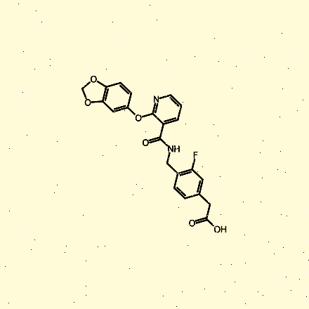 O=C(O)Cc1ccc(CNC(=O)c2cccnc2Oc2ccc3c(c2)OCO3)c(F)c1